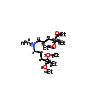 CCCN(CCC[Si](CC)(OCC)OCC)CCC[Si](CC)(OCC)OCC